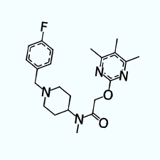 Cc1nc(OCC(=O)N(C)C2CCN(Cc3ccc(F)cc3)CC2)nc(C)c1C